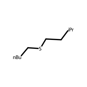 CCCCCSCCC(C)C